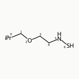 CC(C)COCCNS